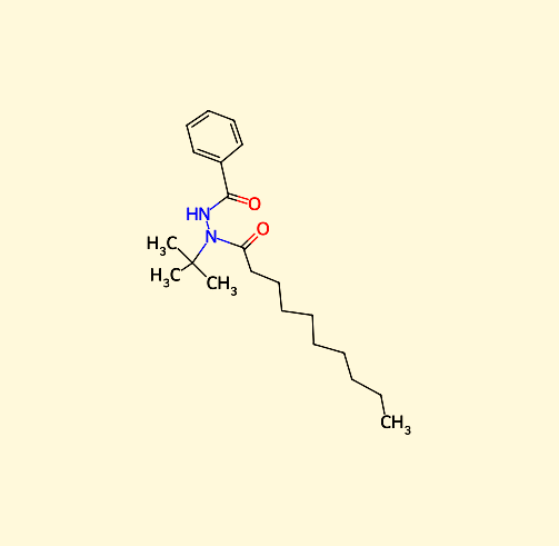 CCCCCCCCCC(=O)N(NC(=O)c1ccccc1)C(C)(C)C